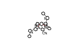 N#Cc1cc(-n2c3ccccc3c3cc(-c4cccc(-c5ccccc5)n4)ccc32)c(-c2c(C#N)cccc2C(F)(F)F)c(-n2c3ccccc3c3cc(-c4cccc(-c5ccccc5)n4)ccc32)c1